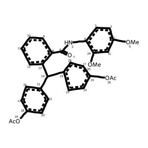 COc1ccc(NC(=O)c2ccccc2C(c2ccc(OC(C)=O)cc2)c2ccc(OC(C)=O)cc2)c(OC)c1